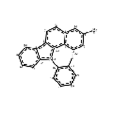 Brc1ccc2c(ccc3c4ccccc4n(-c4ccccc4I)c23)c1